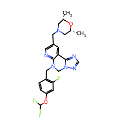 C[C@@H]1CN(Cc2cnc3c(c2)-c2ncnn2CN3Cc2ccc(OC(F)F)cc2F)C[C@H](C)O1